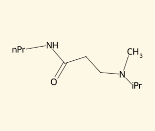 CCCNC(=O)CCN(C)C(C)C